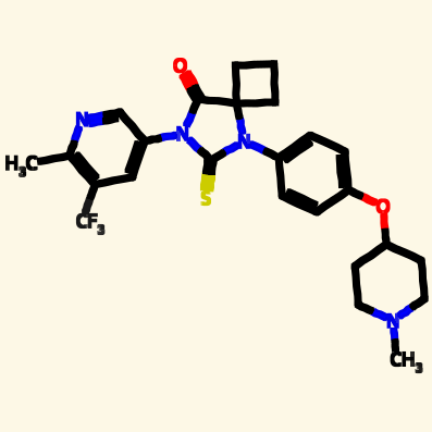 Cc1ncc(N2C(=O)C3(CCC3)N(c3ccc(OC4CCN(C)CC4)cc3)C2=S)cc1C(F)(F)F